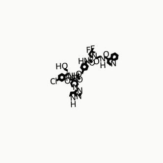 O=C(NC1(C(=O)N[C@@H](CCO)c2ccc(Cl)cc2)CCN(c2ncnc3[nH]ccc23)CC1)OCc1ccc(NC(=O)[C@@H]2CC(F)(F)CN2C(=O)CNC(=O)c2ccnc3ccccc23)cc1